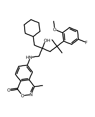 COc1ccc(F)cc1C(C)(C)CC(O)(CNc1ccc2c(=O)onc(C)c2c1)CC1CCCCC1